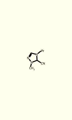 CC(C)N1C=NN(C)C1C#N